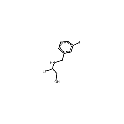 CCC(CO)NCc1cccc(F)c1